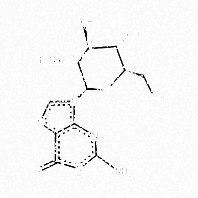 Nc1nc2c(ncn2[C@@H]2O[C@H](CO)[C@@H](O)[C@H](O)[C@H]2N)c(=O)[nH]1